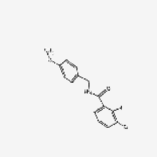 COc1ccc(CNC(=O)c2cccc(Cl)c2I)cc1